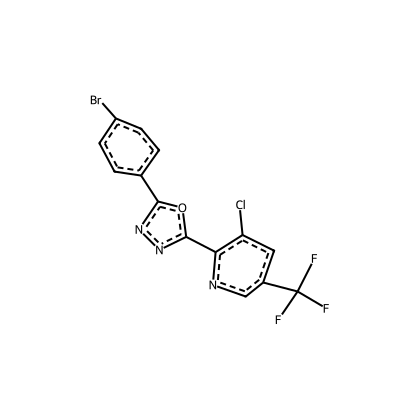 FC(F)(F)c1cnc(-c2nnc(-c3ccc(Br)cc3)o2)c(Cl)c1